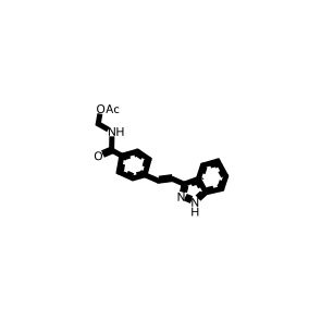 CC(=O)OCNC(=O)c1ccc(C=Cc2n[nH]c3ccccc23)cc1